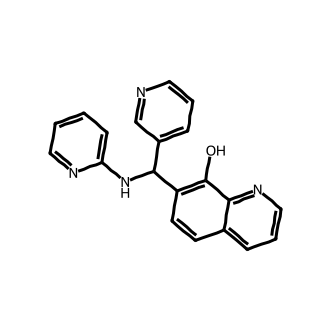 Oc1c(C(Nc2ccccn2)c2cccnc2)ccc2cccnc12